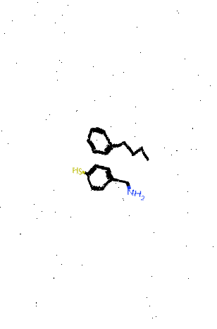 CCCCc1ccccc1.NCc1ccc(S)cc1